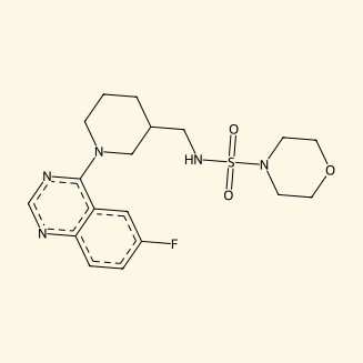 O=S(=O)(NCC1CCCN(c2ncnc3ccc(F)cc23)C1)N1CCOCC1